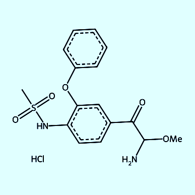 COC(N)C(=O)c1ccc(NS(C)(=O)=O)c(Oc2ccccc2)c1.Cl